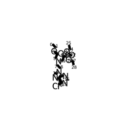 CCOC(=O)CN(CCn1cnc2c(Cl)ncnc21)CCP(=O)(OCC)OCC